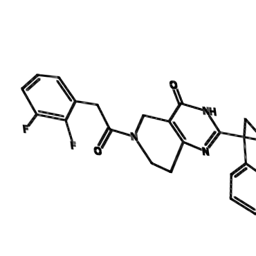 O=C(Cc1cccc(F)c1F)N1CCc2nc(C3(c4ccccc4)CC3)[nH]c(=O)c2C1